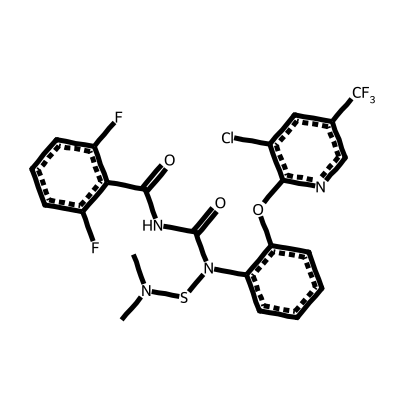 CN(C)SN(C(=O)NC(=O)c1c(F)cccc1F)c1ccccc1Oc1ncc(C(F)(F)F)cc1Cl